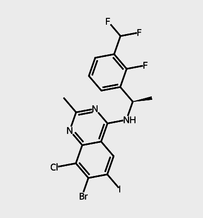 Cc1nc(N[C@H](C)c2cccc(C(F)F)c2F)c2cc(I)c(Br)c(Cl)c2n1